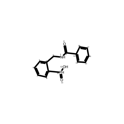 O=C(NCc1ccccc1[PH](=O)O)c1ccccc1